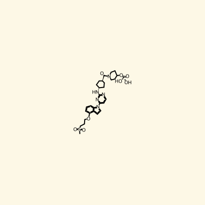 CS(=O)(=O)CCCOc1cccc2c1ccn2-c1ccnc(N[C@H]2CC[C@H](C(=O)N3CCC(OP(=O)(O)O)CC3)CC2)n1